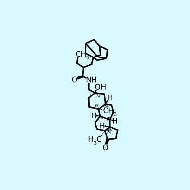 CCC(CC12CC3CC(CC(C3)C1)C2)C(=O)NC[C@@]1(O)CC[C@@]2(C)[C@@H](CC[C@@H]3[C@@H]2CC[C@]2(C)C(=O)CC[C@@H]32)C1